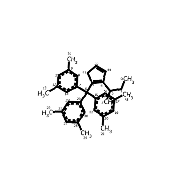 CCC(C)C1=C(C(c2cc(C)cc(C)c2)(c2cc(C)cc(C)c2)c2cc(C)cc(C)c2)CC=C1